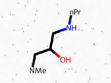 CCCNCC(O)CNC